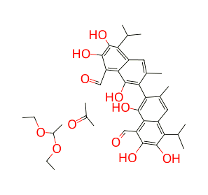 CC(C)=O.CCOC(C)OCC.Cc1cc2c(C(C)C)c(O)c(O)c(C=O)c2c(O)c1-c1c(C)cc2c(C(C)C)c(O)c(O)c(C=O)c2c1O